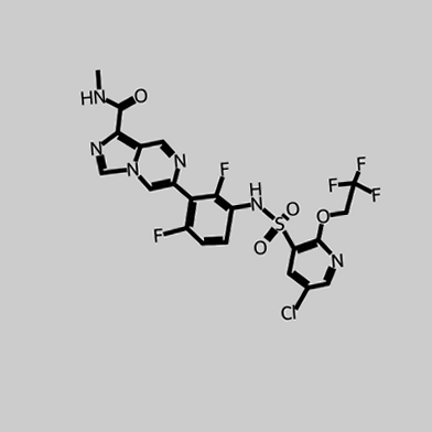 CNC(=O)c1ncn2cc(-c3c(F)ccc(NS(=O)(=O)c4cc(Cl)cnc4OCC(F)(F)F)c3F)ncc12